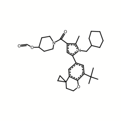 Cc1c(C(=O)N2CCC(OC=O)CC2)cc(-c2cc(C(C)(C)C)c3c(c2)C2(CCO3)CC2)n1CC1CCCCC1